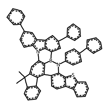 CC1(C)c2ccccc2-c2c1cc1c3c2-c2ccc4c(sc5ccccc54)c2N(c2ccc(-c4ccccc4)cc2)B3c2cc(-c3ccccc3)cc3c4cc(-c5ccccc5)ccc4n-1c23